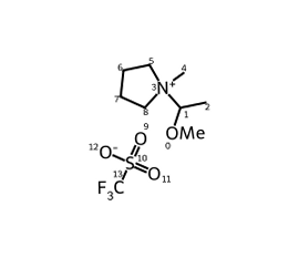 COC(C)[N+]1(C)CCCC1.O=S(=O)([O-])C(F)(F)F